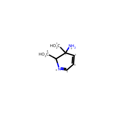 NC1(C(=O)O)C=CC=NC1C(=O)O